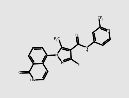 O=C(Nc1ccnc(C(F)(F)F)c1)c1c(F)nn(-c2cccc3c(=O)[nH]ccc23)c1C(F)(F)F